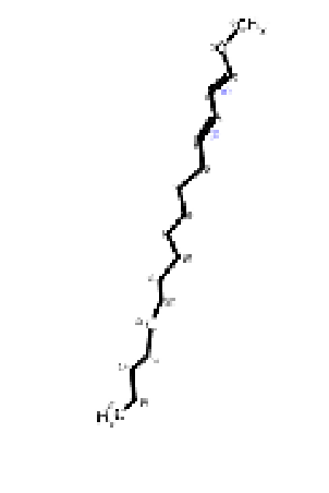 [CH2]O/C=C/C=C/CCCCCCCCCCCC